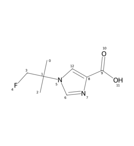 CC(C)(CF)n1cnc(C(=O)O)c1